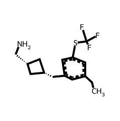 CCc1cc(C[C@H]2C[C@@H](CN)C2)cc(SC(F)(F)F)c1